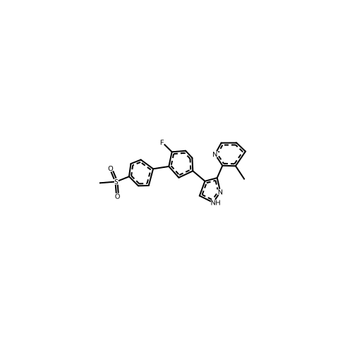 Cc1cccnc1-c1n[nH]cc1-c1ccc(F)c(-c2ccc(S(C)(=O)=O)cc2)c1